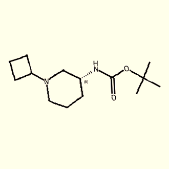 CC(C)(C)OC(=O)N[C@@H]1CCCN(C2CCC2)C1